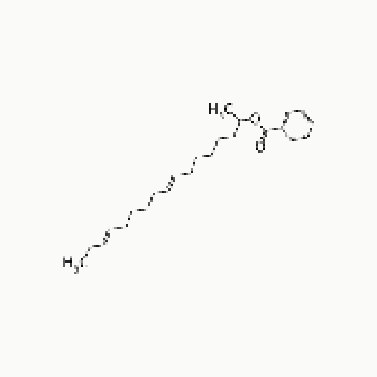 CCC=CCCCCC=CCCCCCC(C)OC(=O)c1ccccc1